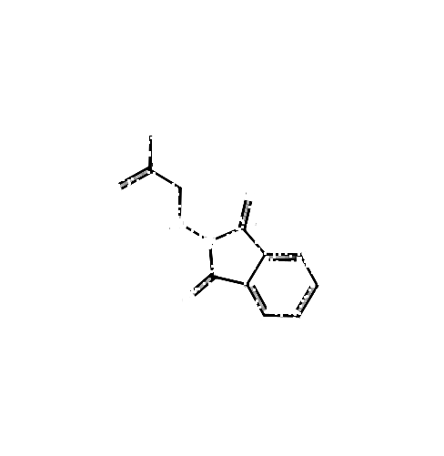 C=C(C)CON1C(=O)c2ccccc2C1=O